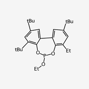 CCOp1oc2c(CC)cc(C(C)(C)C)cc2c2cc(C(C)(C)C)cc(C(C)(C)C)c2o1